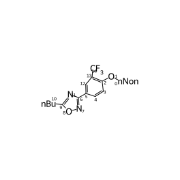 CCCCCCCCCOc1ccc(-c2noc(CCCC)n2)cc1C(F)(F)F